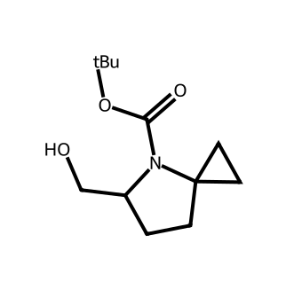 CC(C)(C)OC(=O)N1C(CO)CCC12CC2